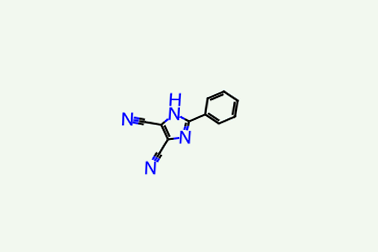 N#Cc1nc(-c2ccccc2)[nH]c1C#N